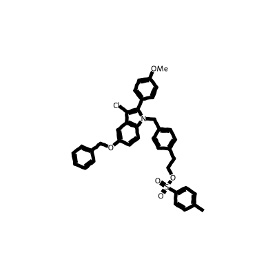 COc1ccc(-c2c(Cl)c3cc(OCc4ccccc4)ccc3n2Cc2ccc(CCOS(=O)(=O)c3ccc(C)cc3)cc2)cc1